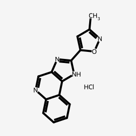 Cc1cc(-c2nc3cnc4ccccc4c3[nH]2)on1.Cl